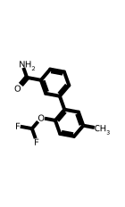 Cc1ccc(OC(F)F)c(-c2cccc(C(N)=O)c2)c1